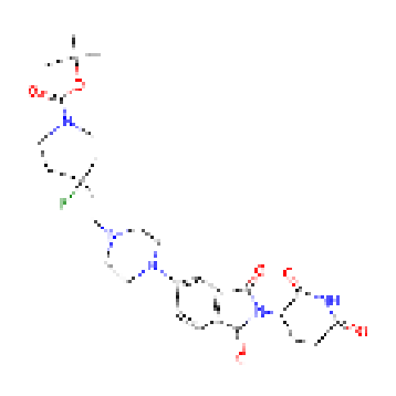 CC(C)(C)OC(=O)N1CCC(F)(CCN2CCN(c3ccc4c(c3)C(=O)N(C3CCC(=O)NC3=O)C4=O)CC2)CC1